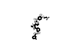 Cc1cccc(C(=O)Nc2cccc(-c3nc(C)sc3-c3ccnc(Nc4ccc(OCCN(C)C)c(Cl)c4)n3)c2)c1